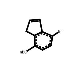 CCCCc1ccc(Br)c2c1CC=C2